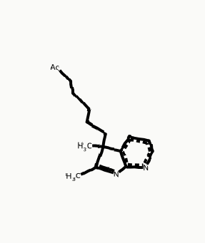 CC(=O)CCCCCC1(C)C(C)=Nc2ncccc21